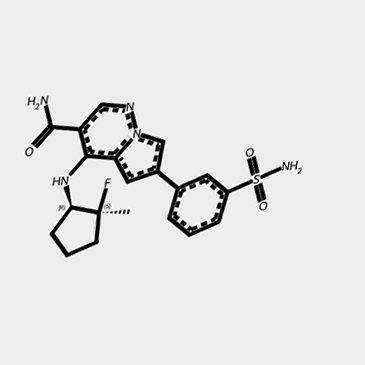 C[C@]1(F)CCC[C@H]1Nc1c(C(N)=O)cnn2cc(-c3cccc(S(N)(=O)=O)c3)cc12